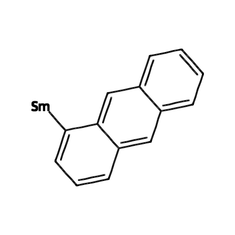 [Sm][c]1cccc2cc3ccccc3cc12